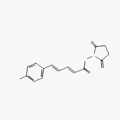 COc1ccc(C=CC=CC(=O)ON2C(=O)CCC2=O)cc1